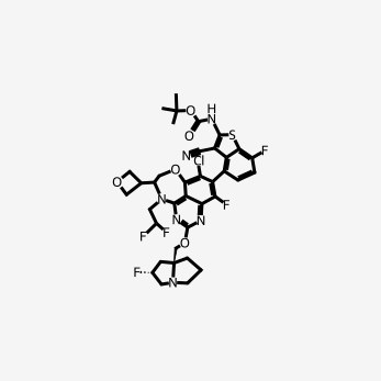 CC(C)(C)OC(=O)Nc1sc2c(F)ccc(-c3c(Cl)c4c5c(nc(OC[C@@]67CCCN6C[C@H](F)C7)nc5c3F)N(CC(F)F)C(C3COC3)CO4)c2c1C#N